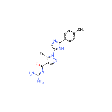 CCc1c(C(=O)N=C(N)N)cnn1-c1cnc(-c2ccc(C)cc2)[nH]1